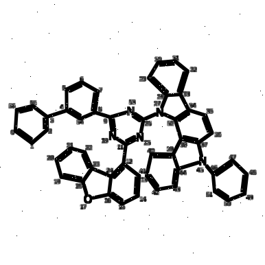 c1ccc(-c2cccc(-c3nc(-c4cccc5oc6ccccc6c45)nc(-n4c5ccccc5c5ccc6c(c7ccccc7n6-c6ccccc6)c54)n3)c2)cc1